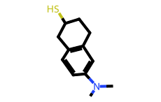 CN(C)c1ccc2c(c1)CCC(S)C2